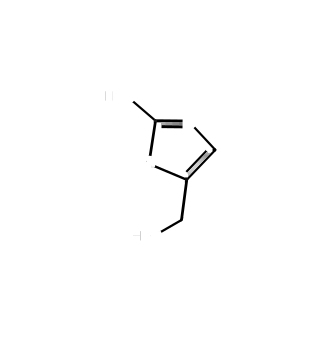 CCC1=C[SH]=C(C)S1